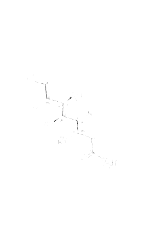 N[C@@H]([C@@H](O)[C@H](O)[C@H](O)CO)[C@@H](O)CC(=O)C(=O)O